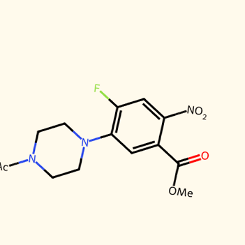 COC(=O)c1cc(N2CCN(C(C)=O)CC2)c(F)cc1[N+](=O)[O-]